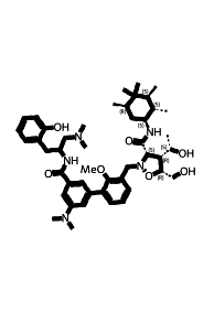 COc1c(CN2O[C@@H](CO)[C@@H]([C@H](C)O)[C@H]2C(=O)N[C@H]2C[C@@H](C)C(C)(C)[C@@H](C)[C@@H]2C)cccc1-c1cc(C(=O)NC(Cc2ccccc2O)CN(C)C)cc(N(C)C)c1